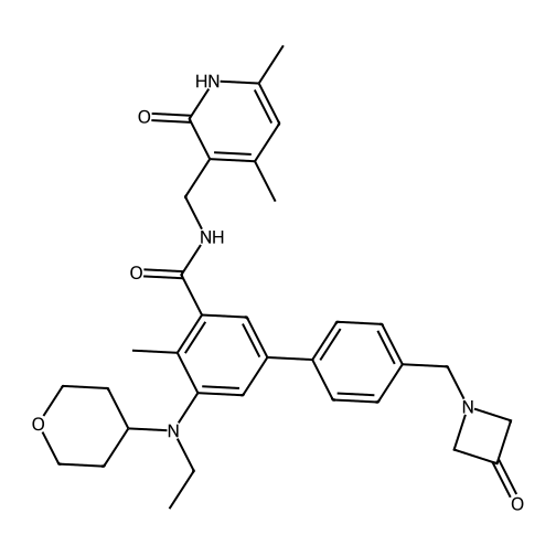 CCN(c1cc(-c2ccc(CN3CC(=O)C3)cc2)cc(C(=O)NCc2c(C)cc(C)[nH]c2=O)c1C)C1CCOCC1